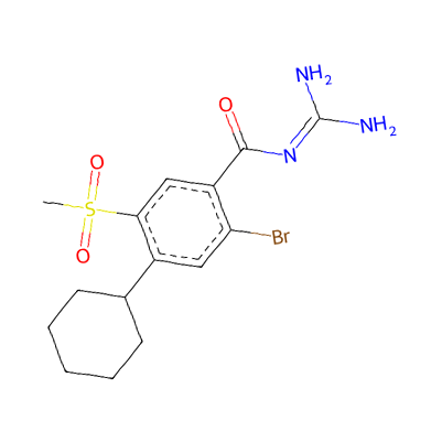 CS(=O)(=O)c1cc(C(=O)N=C(N)N)c(Br)cc1C1CCCCC1